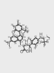 CC[C@@H](Nc1cc(F)c(C(=O)N[C@@H](Cc2ccc(-c3c(C(F)(F)F)cc(C)n(C)c3=O)c3ncc(N(C)C)cc23)C(=O)O)c(F)c1)C(F)(F)F